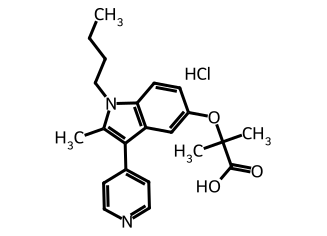 CCCCn1c(C)c(-c2ccncc2)c2cc(OC(C)(C)C(=O)O)ccc21.Cl